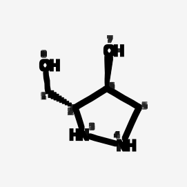 OC[C@H]1NNC[C@@H]1O